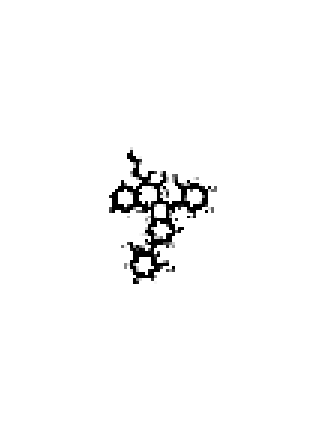 C=CCC1(C)c2ccccc2N2c3cc(-c4c(C)cccc4C)ccc3N(c3ccccc3C)C2C1C